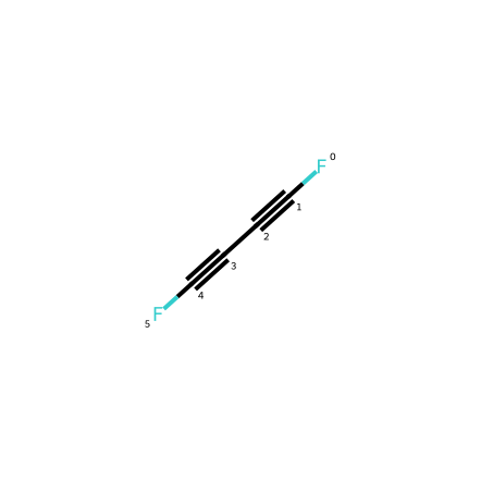 FC#CC#CF